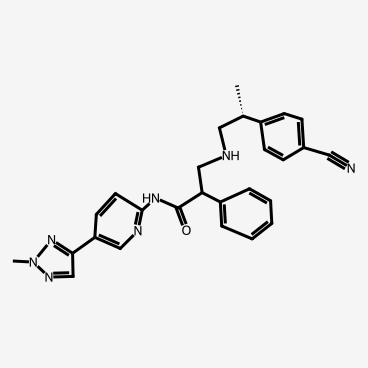 C[C@@H](CNCC(C(=O)Nc1ccc(-c2cnn(C)n2)cn1)c1ccccc1)c1ccc(C#N)cc1